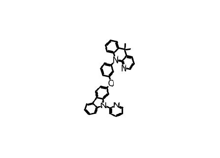 CC1(C)c2ccccc2N(c2cccc(Oc3ccc4c5ccccc5n(-c5ccccn5)c4c3)c2)c2ncccc21